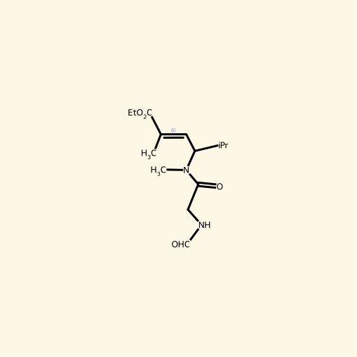 CCOC(=O)/C(C)=C/C(C(C)C)N(C)C(=O)CNC=O